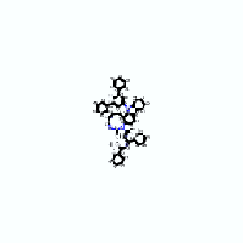 C=C(/C=C(\C=C(/C)N1C(=C)/N=C\C=C/Cc2c1ccc1c3ccccc3n(-c3cc(-c4ccccc4)cc(-c4ccccc4)c3)c21)c1ccccc1)c1ccccc1